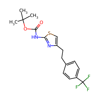 CC(C)(C)OC(=O)Nc1nc(CCc2ccc(C(F)(F)F)cc2)cs1